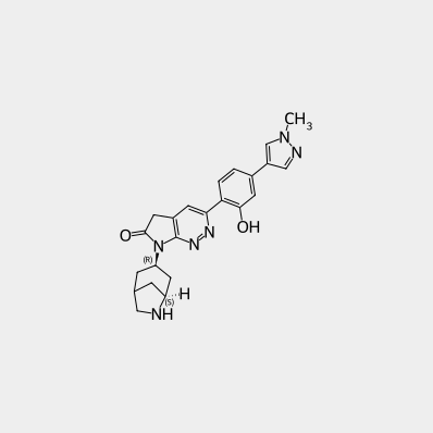 Cn1cc(-c2ccc(-c3cc4c(nn3)N([C@@H]3CC5CN[C@@H](C5)C3)C(=O)C4)c(O)c2)cn1